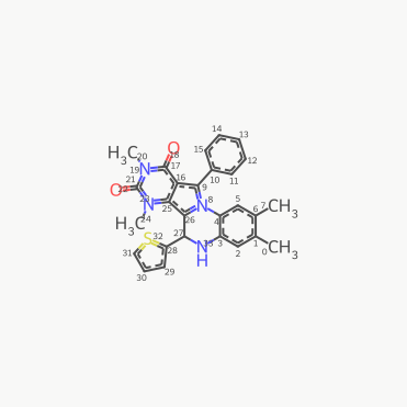 Cc1cc2c(cc1C)-n1c(-c3ccccc3)c3c(=O)n(C)c(=O)n(C)c3c1C(c1cccs1)N2